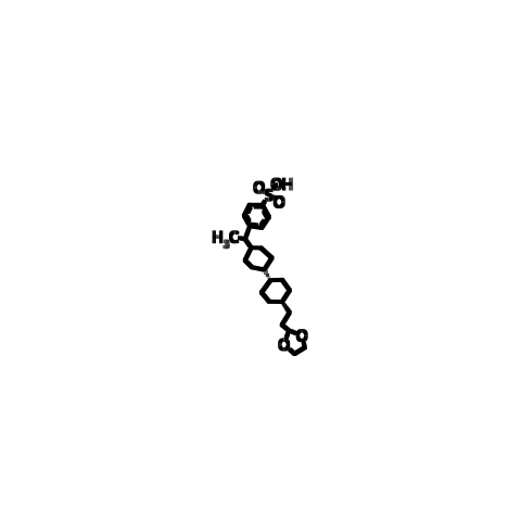 CC(c1ccc(S(=O)(=O)O)cc1)C1CCC([C@H]2CC[C@H](CCC3OCCO3)CC2)CC1